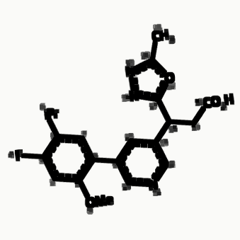 COc1cc(F)c(C(C)C)cc1-c1cncc(C(CC(=O)O)c2nnc(C)o2)c1